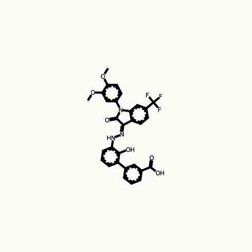 COc1ccc(N2C(=O)C(=NNc3cccc(-c4cccc(C(=O)O)c4)c3O)c3ccc(C(F)(F)F)cc32)cc1OC